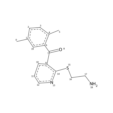 Cc1ccc(C)c(C(=O)c2cccnc2SCCN)c1